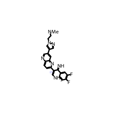 CNCCn1cc(-c2cnc3ccc(/C(=C/N)C(=N)c4ccc(F)c(F)c4)nc3c2)cn1